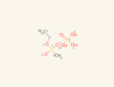 CCOS(C)(=O)=O.O=P(O)(O)O